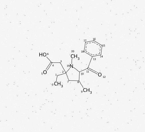 CCC1(CC(=O)O)CC(C)C(C(=O)c2ccccc2)N1C